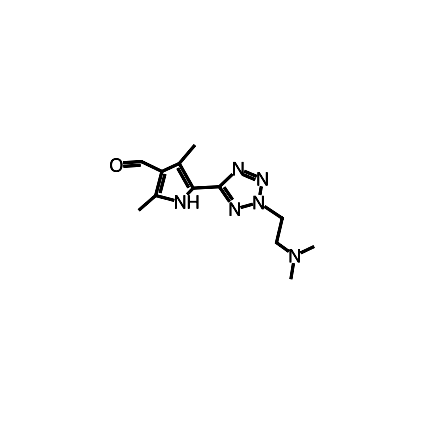 Cc1[nH]c(-c2nnn(CCN(C)C)n2)c(C)c1C=O